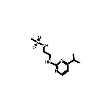 CC(C)c1ccnc(NCCNS(C)(=O)=O)n1